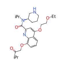 CCOCCOc1cc(C(=O)N(C(C)C)[C@@H]2CCCNC2)nc2c(OCC(=O)C(C)C)cccc12